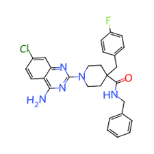 Nc1nc(N2CCC(Cc3ccc(F)cc3)(C(=O)NCc3ccccc3)CC2)nc2cc(Cl)ccc12